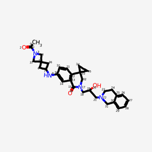 CC(=O)N1CC2(CC(Nc3ccc4c(c3)C(=O)N(CC(O)CN3CCc5ccccc5C3)CC43CC3)C2)C1